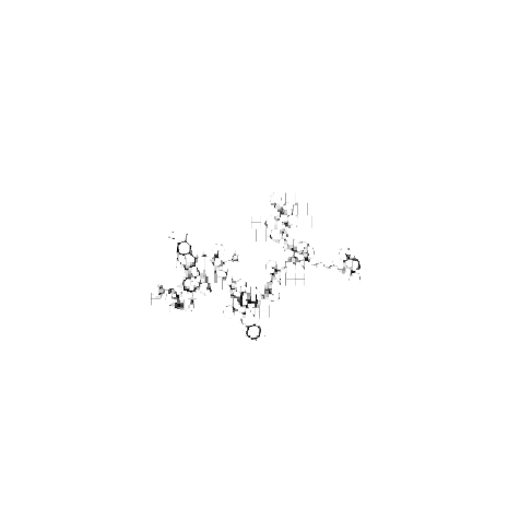 Cc1cc2c(CNC(=O)[C@H](OCNC(=O)CNC(=O)[C@H](Cc3ccccc3)NC(=O)CNC(=O)CNC(=O)CC[C@H](NC(=O)CCCCCN3C(=O)C=CC3=O)C(=O)N(C)C[C@H](O)[C@@H](O)[C@H](O)[C@H](O)CO)C3CC3)c3c(nc2cc1F)-c1cc2c(c(=O)n1C3)COC(=O)[C@]2(O)CC1CC1